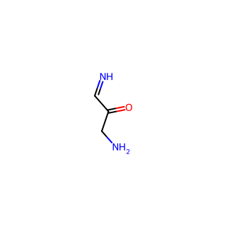 N=CC(=O)CN